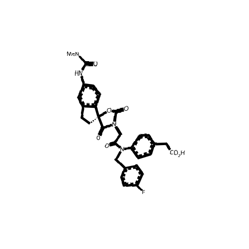 CNC(=O)Nc1ccc2c(c1)CC[C@@]21OC(=O)N(CC(=O)N(Cc2ccc(F)cc2)c2ccc(CC(=O)O)cc2)C1=O